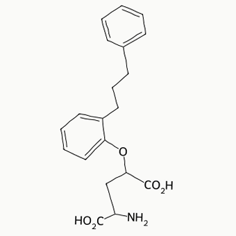 NC(CC(Oc1ccccc1CCCc1ccccc1)C(=O)O)C(=O)O